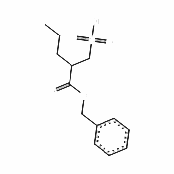 CCCC(CS(=O)(=O)O)C(=O)OCc1ccccc1